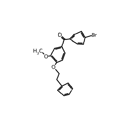 COc1cc(C(=O)c2ccc(Br)cc2)ccc1OCCc1ccccc1